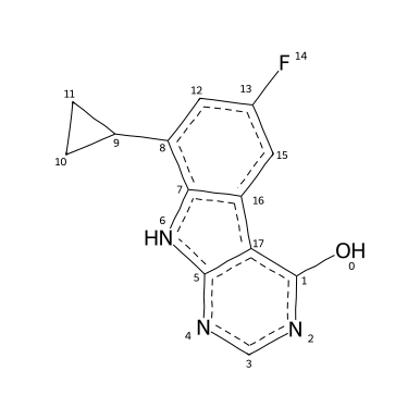 Oc1ncnc2[nH]c3c(C4CC4)cc(F)cc3c12